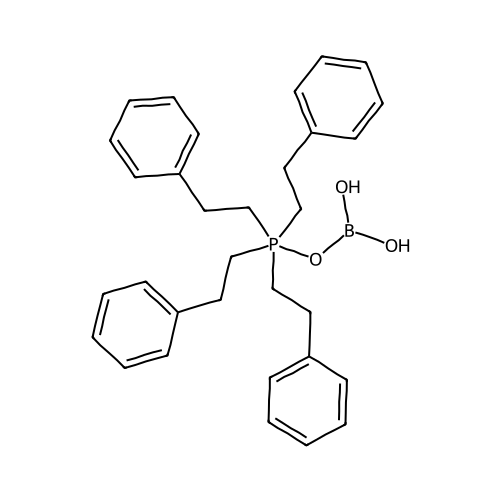 OB(O)OP(CCc1ccccc1)(CCc1ccccc1)(CCc1ccccc1)CCc1ccccc1